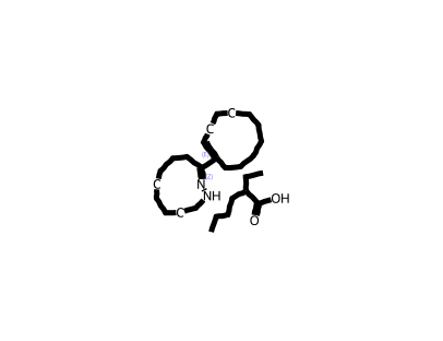 C1=C(/C2=N\NCCCCCCCC2)CCCCCCCCC/1.CCCCC(CC)C(=O)O